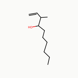 C=CC(C)C(O)CCCCCC